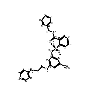 Cc1cc(OCCNc2ccncc2)cc(OS(=O)(=O)c2ccccc2C(=O)OCc2ccccc2)c1